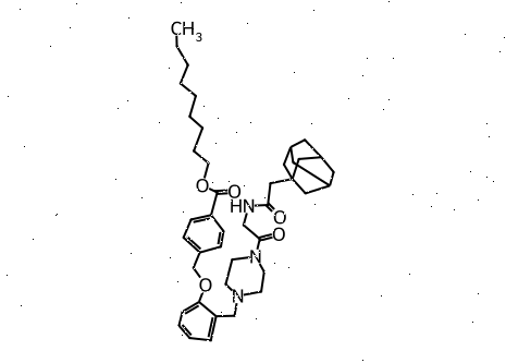 CCCCCCCCCOC(=O)c1ccc(COc2ccccc2CN2CCN(C(=O)CNC(=O)CC34CC5CC(CC(C5)C3)C4)CC2)cc1